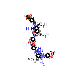 C=CS(=O)(=O)c1ccc(/N=N/c2c(N)c(/N=N/c3ccc(NS(=O)(=O)c4ccc(/N=N/c5c(S(=O)(=O)O)cc6cc(S(=O)(=O)O)c(/N=N/c7ccc(S(=O)(=O)C=C)cc7)c(N)c6c5O)cc4)cc3)cc(S(=O)(=O)O)c2N)cc1